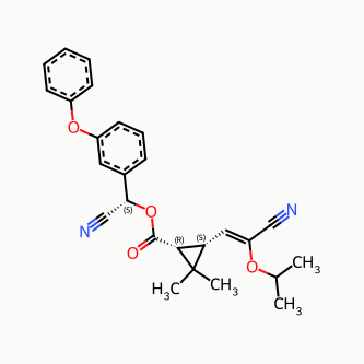 CC(C)OC(C#N)=C[C@H]1[C@@H](C(=O)O[C@H](C#N)c2cccc(Oc3ccccc3)c2)C1(C)C